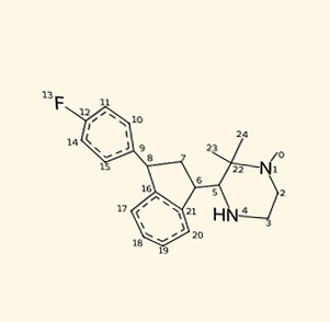 CN1CCNC(C2CC(c3ccc(F)cc3)c3ccccc32)C1(C)C